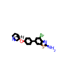 Nc1nc2c(Br)cc(-c3ccc(O[C@H]4CN5CCC4CC5)cc3)cc2s1